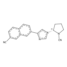 N#Cc1ccc2ccc(-c3cn([C@@H]4CCCN4C#N)cn3)cc2c1